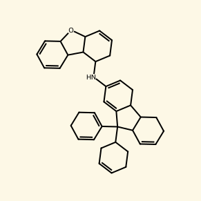 C1=CC2OC3C=CCC(NC4=CCC5C(=C4)C(C4=CCCC=C4)(C4CC=CCC4)C4C=CCCC54)C3C2C=C1